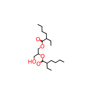 CCCCC(CC)C(=O)OCC(CO)OC(=O)C(CC)CCCC